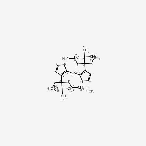 CCCC(CC)(C1=[C]([Zr+2][C]2=C(C(CC)(CCC)C(C)(C)C)C=CC2)CC=C1)C(C)(C)C.[Cl-].[Cl-]